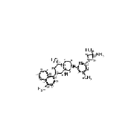 Cc1cc(N2CCN3[C@@H](C2)CN(c2ccc(C)c4ncccc24)C[C@H]3C)nc(N2CC(C)(N)C2)n1